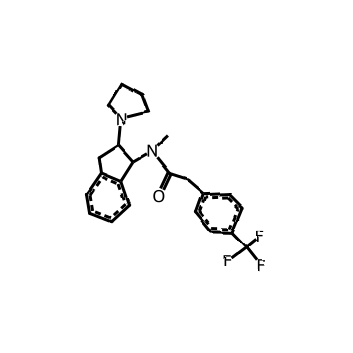 CN(C(=O)Cc1ccc(C(F)(F)F)cc1)C1c2ccccc2CC1N1CCCC1